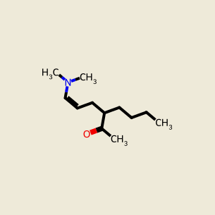 CCCCC(C/C=C\N(C)C)C(C)=O